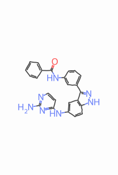 Nc1nccc(Nc2ccc3[nH]nc(-c4cccc(NC(=O)c5ccccc5)c4)c3c2)n1